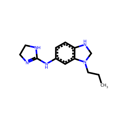 CCCN1CNc2ccc(NC3=NCCN3)cc21